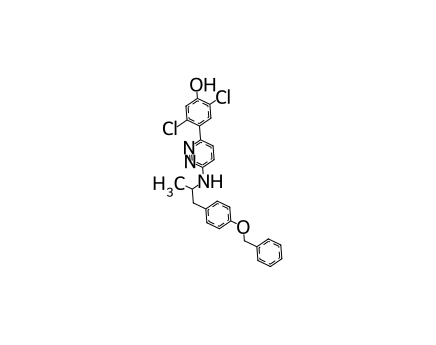 CC(Cc1ccc(OCc2ccccc2)cc1)Nc1ccc(-c2cc(Cl)c(O)cc2Cl)nn1